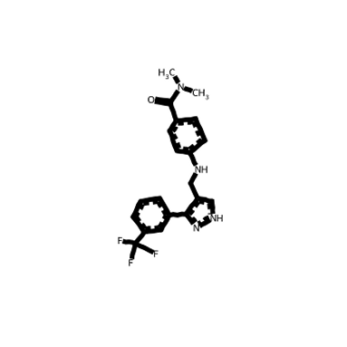 CN(C)C(=O)c1ccc(NCc2c[nH]nc2-c2cccc(C(F)(F)F)c2)cc1